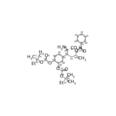 CCC(C)(C)OC(=O)Oc1ccc(C(CC(C)OC(=O)c2ccccc2)[C@H](N)C(=O)O)cc1OC(=O)OC(C)(C)CC